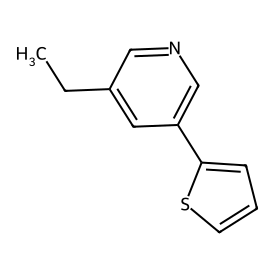 CCc1cncc(-c2cccs2)c1